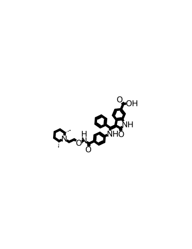 C[C@@H]1CCC[C@H](C)N1CCONC(=O)c1ccc(N/C(=C2\C(=O)Nc3cc(C(=O)O)ccc32)c2ccccc2)cc1